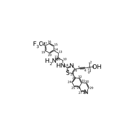 CC(C)(O)C#Cc1nc(NC[C@@H](N)Cc2ccc(C(F)(F)F)cc2)sc1-c1ccc2cnccc2c1